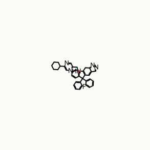 Fc1ccccc1C(C1=C(NCc2cnc(C3CCCCC3)cn2)CC2=NN=CC2=C1)(c1ccccc1)c1ccccc1